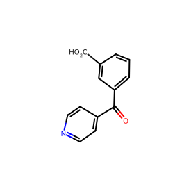 O=C(O)c1cccc(C(=O)c2ccncc2)c1